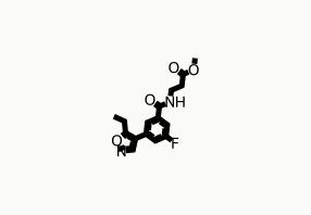 CCc1oncc1-c1cc(F)cc(C(=O)NCCC(=O)OC)c1